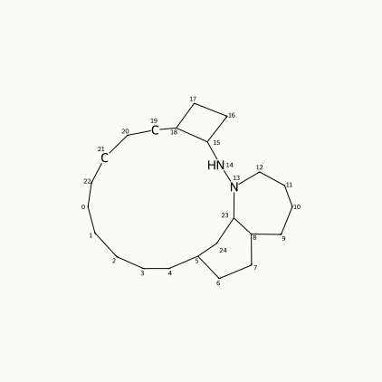 C1CCCCC2CCC3CCCCN(NC4CCC4CCCC1)C3C2